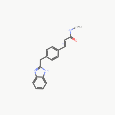 CONC(=O)/C=C/c1ccc(Cc2nc3ccccc3[nH]2)cc1